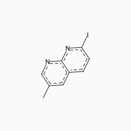 Cc1cnc2nc(I)ccc2c1